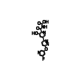 O=C(O)NC(=O)c1ncc(-c2ccc(Oc3cncc(F)c3)nn2)cc1O